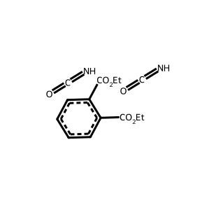 CCOC(=O)c1ccccc1C(=O)OCC.N=C=O.N=C=O